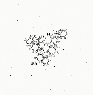 CC(C)(C)c1ccc(N2c3cc4c(cc3B3c5cc6c(cc5-c5ccc(-c7ccccc7)c2c53)-c2ccccc2C6(C)C)C(C)(C)c2ccccc2-4)c(-c2ccccc2)c1